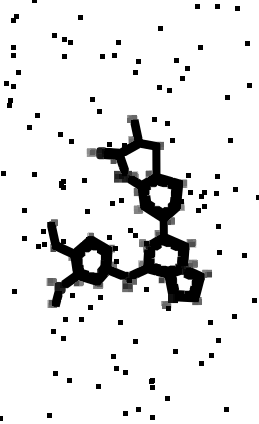 CCc1ccc(Nc2nc(-c3ccc4c(c3)NC(=O)C(C)C4)cn3ccnc23)cc1OC